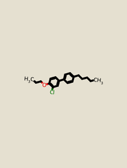 CCCCCc1ccc(-c2ccc(OCCC)c(Cl)c2)cc1